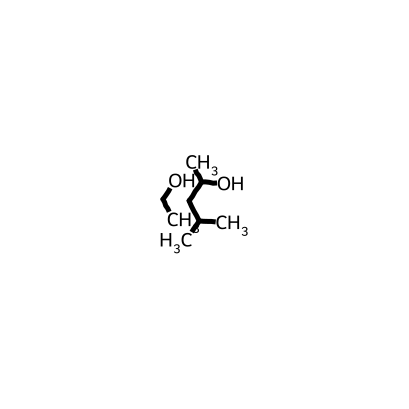 CC(C)CC(C)O.CCO